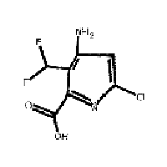 Nc1cc(Cl)nc(C(=O)O)c1C(F)F